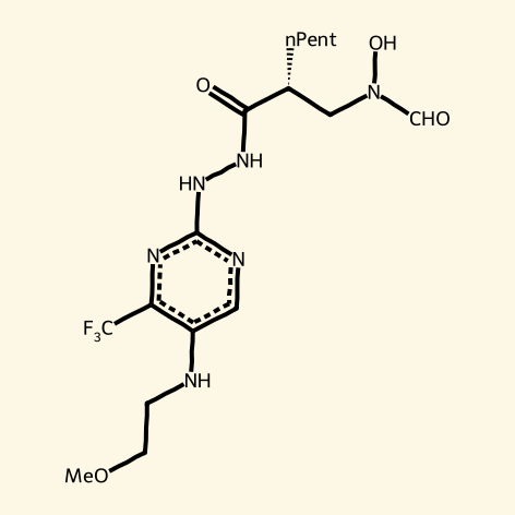 CCCCC[C@H](CN(O)C=O)C(=O)NNc1ncc(NCCOC)c(C(F)(F)F)n1